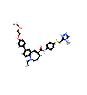 CCCCOCCOc1ccc(-c2ccc3c(c2)/C=C(/C(=O)Nc2ccc(SCc4nncn4CCC)cc2)CCCN3CC(C)C)cc1